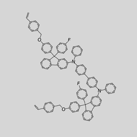 C=Cc1ccc(COc2ccc(C3(c4ccc(F)cc4)c4ccccc4-c4ccc(N(c5ccccc5)c5ccc(-c6ccc(N(c7ccccc7)c7ccc8c(c7)C(c7ccc(F)cc7)(c7ccc(OCc9ccc(C=C)cc9)cc7)c7ccccc7-8)cc6)cc5)cc43)cc2)cc1